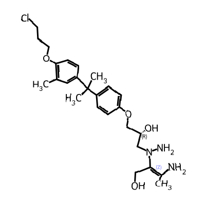 C/C(N)=C(\CO)N(N)C[C@@H](O)COc1ccc(C(C)(C)c2ccc(OCCCCl)c(C)c2)cc1